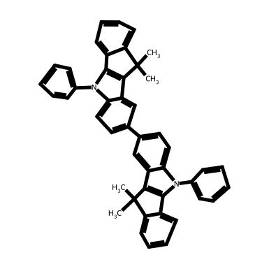 CC1(C)c2ccccc2-c2c1c1cc(-c3ccc4c(c3)c3c(n4-c4ccccc4)-c4ccccc4C3(C)C)ccc1n2-c1ccccc1